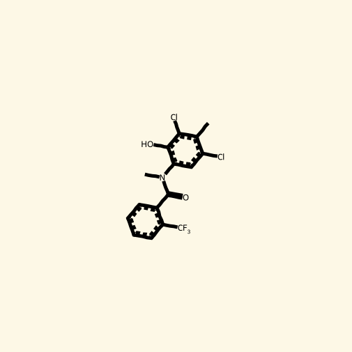 Cc1c(Cl)cc(N(C)C(=O)c2ccccc2C(F)(F)F)c(O)c1Cl